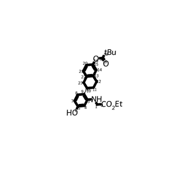 CCOC(=O)CNc1cc(O)ccc1[C@H]1CCc2cc(OC(=O)C(C)(C)C)ccc2C1